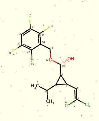 CC(C)C1C(C=C(Cl)Cl)C1[C@@H](O)OCc1c(F)c(F)cc(F)c1Cl